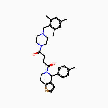 Cc1ccc(C2c3ccsc3CCN2C(=O)CCC(=O)N2CCN(Cc3c(C)cc(C)cc3C)CC2)cc1